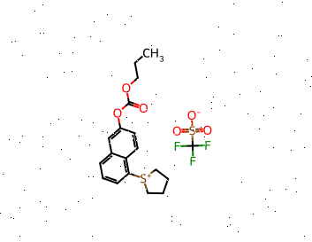 CCCOC(=O)Oc1ccc2c([S+]3CCCC3)cccc2c1.O=S(=O)([O-])C(F)(F)F